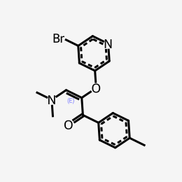 Cc1ccc(C(=O)/C(=C\N(C)C)Oc2cncc(Br)c2)cc1